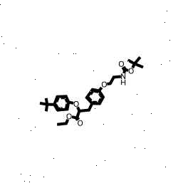 CCOC(=O)C(Cc1ccc(OCCNC(=O)OC(C)(C)C)cc1)Oc1ccc(C(C)(C)C)cc1